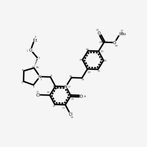 CCOC[C@H]1CCCN1Cc1c(Cl)cc(Cl)c(=O)n1CCc1ccc(C(=O)OC(C)(C)C)cc1